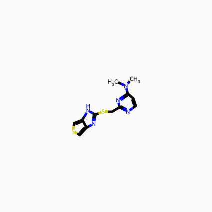 CN(C)c1ccnc(CSc2nc3cscc3[nH]2)n1